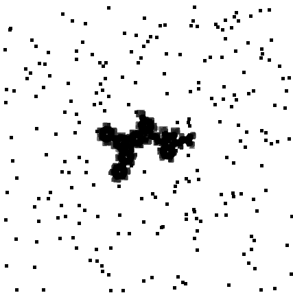 CC(C)=C/C=C1/c2ccccc2C(C/C=C/[n+]2ccc(C)cc2-c2cc3c4cc(-c5ccccc5)cc5c6cc(-c7ccccc7)ccc6n(c3cc2C)c54)C(C)N1C